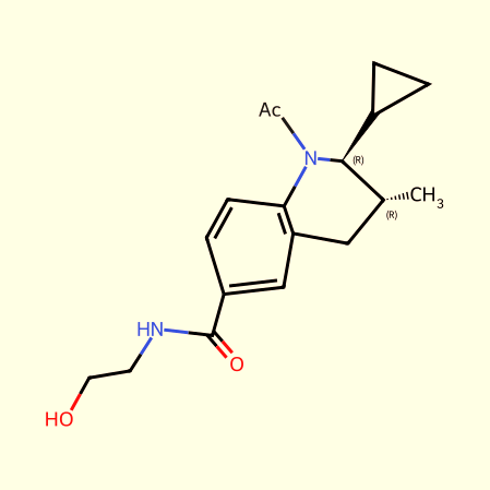 CC(=O)N1c2ccc(C(=O)NCCO)cc2C[C@@H](C)[C@@H]1C1CC1